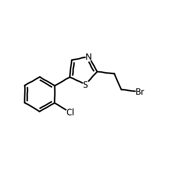 Clc1ccccc1-c1cnc(CCBr)s1